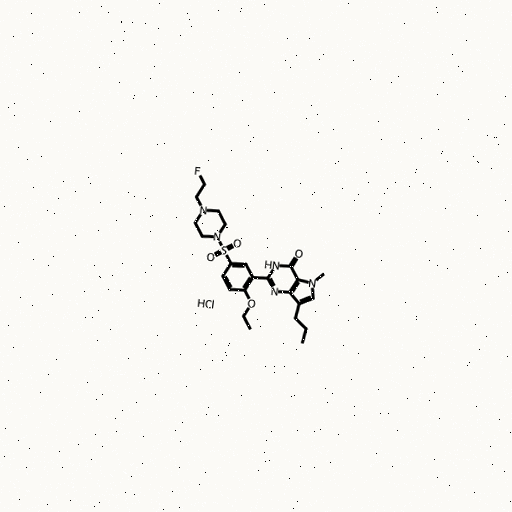 CCCc1cn(C)c2c(=O)[nH]c(-c3cc(S(=O)(=O)N4CCN(CCF)CC4)ccc3OCC)nc12.Cl